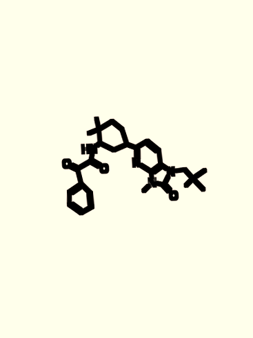 Cn1c(=O)n(CC(C)(C)C)c2ccc(C3CCC(C)(C)C(NC(=O)C(=O)c4ccccc4)C3)nc21